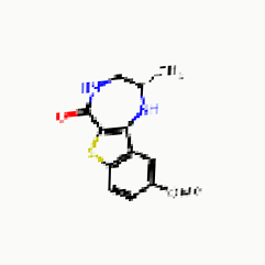 COc1ccc2sc3c(c2c1)N[C@@H](C)CNC3=O